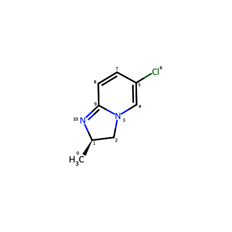 C[C@@H]1CN2C=C(Cl)C=CC2=N1